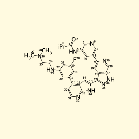 CC(C)C(=O)Nc1cncc(-c2cc3c(-c4cc5c(-c6cc(F)cc(NCCN(C)C)c6)ccnc5[nH]4)n[nH]c3cn2)c1